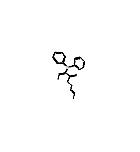 C=C(CC/C=C/C)/C(=C\C)N(c1ccccc1)c1ccccc1